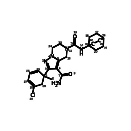 CC1(c2nn3c(c2C(N)=O)CN(C(=O)NC24CCC(CC2)CC4)CC3)C=CC=C(Cl)C1